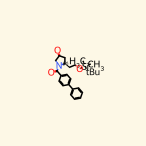 CC(C)(C)[Si](C)(C)OCC[C@@H]1CC(=O)CN1C(=O)c1ccc(-c2ccccc2)cc1